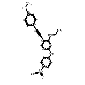 CCNc1nc(Nc2ccc([SH](=N)=O)cc2)ncc1C#Cc1ccc(OC)cc1